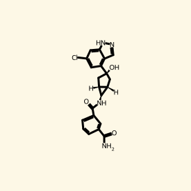 NC(=O)c1cccc(C(=O)N[C@H]2[C@@H]3C[C@](O)(c4cc(Cl)cc5[nH]ncc45)C[C@@H]32)c1